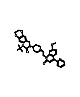 COc1ccc2c(-c3ccccn3)cc(=O)n(CCN3CCC(N(Cc4ccc5c(c4)OCCO5)C(=O)OC(C)(C)C)CC3)c2c1